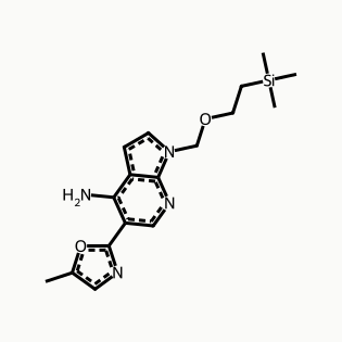 Cc1cnc(-c2cnc3c(ccn3COCC[Si](C)(C)C)c2N)o1